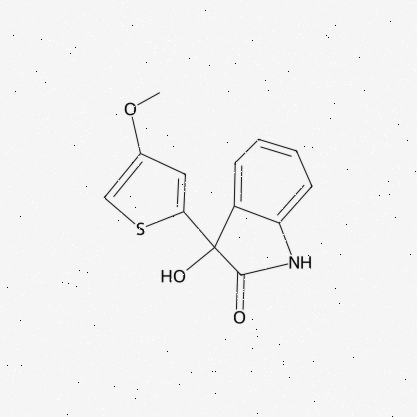 COc1csc(C2(O)C(=O)Nc3ccccc32)c1